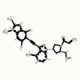 C=CC(=O)N1C[C@@H](n2nc(C#Cc3c(Cl)cc4c(nc(C)n4C)c3F)c3c(N)ncnc32)C[C@@H]1COC